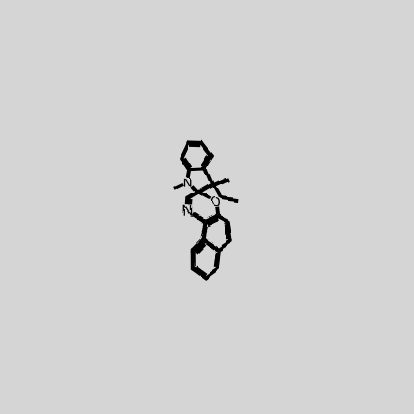 CCC1(C)c2ccccc2N(C)C12C=Nc1c(ccc3ccccc13)O2